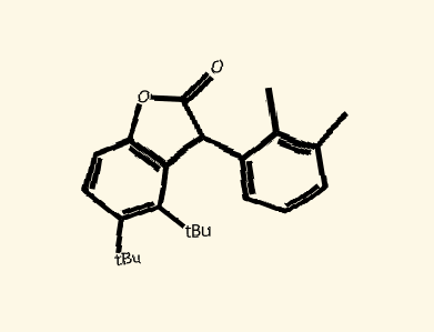 Cc1cccc(C2C(=O)Oc3ccc(C(C)(C)C)c(C(C)(C)C)c32)c1C